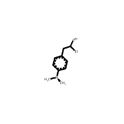 CCCC(CC)Cc1ccc(N(C)C)cc1